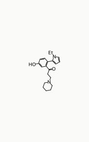 CCn1cccc1-c1ccc(O)cc1C(=O)CCN1CCCCC1